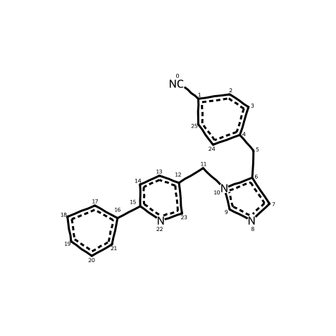 N#Cc1ccc(Cc2cncn2Cc2ccc(-c3ccccc3)nc2)cc1